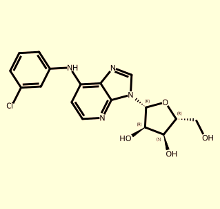 OC[C@H]1O[C@@H](n2cnc3c(Nc4cccc(Cl)c4)ccnc32)[C@H](O)[C@@H]1O